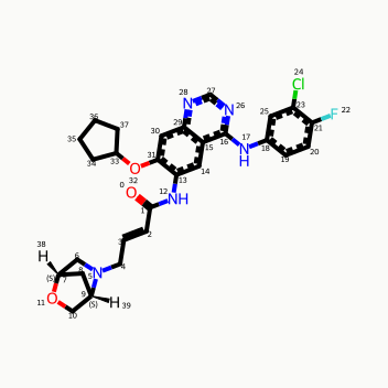 O=C(C=CCN1C[C@@H]2C[C@H]1CO2)Nc1cc2c(Nc3ccc(F)c(Cl)c3)ncnc2cc1OC1CCCC1